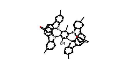 Cc1ccc2c(c1)c1cc(C)ccc1n2-c1c(C)c(-n2c3ccc(C)cc3c3cc(C)ccc32)c(-n2c3ccc(C)cc3c3cc(C)ccc32)c(C#N)c1-n1c2ccc(C)cc2c2cc(C)ccc21